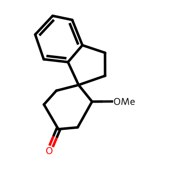 COC1CC(=O)CCC12CCc1ccccc12